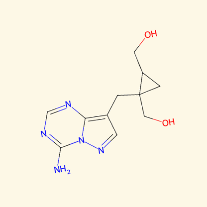 Nc1ncnc2c(CC3(CO)CC3CO)cnn12